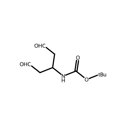 CC(C)(C)OC(=O)NC(CC=O)CC=O